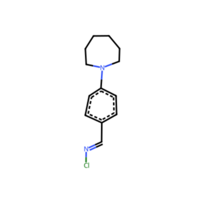 Cl/N=C/c1ccc(N2CCCCCC2)cc1